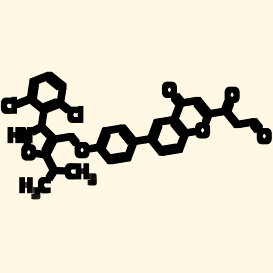 CC(C)C1=C(COc2ccc(-c3ccc4oc(C(=O)CC=O)cc(=O)c4c3)cc2)C(c2c(Cl)cccc2Cl)NO1